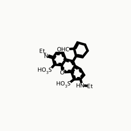 CC/N=c1\ccc2c(C3=CCCC=C3C=O)c3ccc(NCC)c(S(=O)(=O)O)c3oc-2c1S(=O)(=O)O